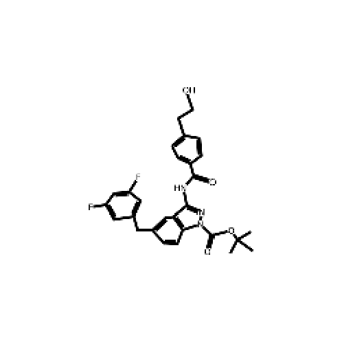 CC(C)(C)OC(=O)n1nc(NC(=O)c2ccc(CCO)cc2)c2cc(Cc3cc(F)cc(F)c3)ccc21